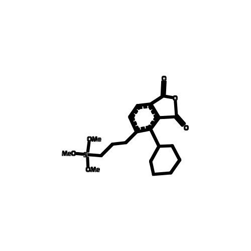 CO[Si](CCCc1ccc2c(c1C1CCCCC1)C(=O)OC2=O)(OC)OC